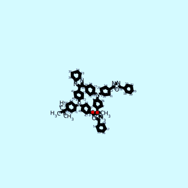 CC(C)(C)c1ccc(N(c2ccc(-c3nnc(-c4ccccc4)o3)cc2)c2ccc(-c3nc4ccccc4nc3-c3ccc(N(c4ccc(-c5nnc(-c6ccccc6)o5)cc4)c4ccc(C(C)(C)C)cc4)cc3)cc2)cc1